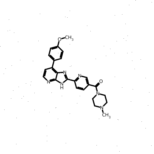 COc1ccc(-c2ccnc3[nH]c(-c4ccc(C(=O)N5CCN(C)CC5)cn4)nc23)cc1